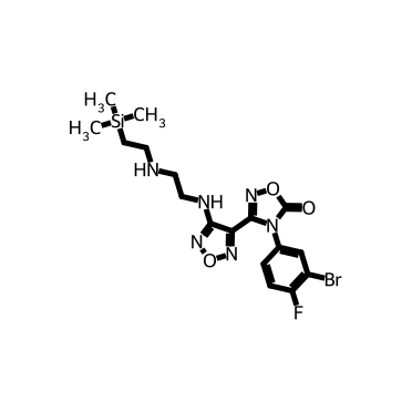 C[Si](C)(C)CCNCCNc1nonc1-c1noc(=O)n1-c1ccc(F)c(Br)c1